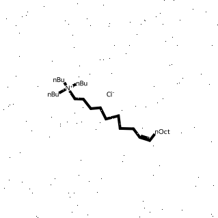 CCCCCCCC/C=C\CCCCCCCC[N+](CCCC)(CCCC)CCCC.[Cl-]